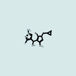 CC1=CC(CC2CC2)C(Br)=C1C(O)c1cn(C)nc1I